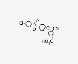 N#Cc1cc(CC(=O)O)ccc1Oc1ccc(C(=O)N(c2ccc(Cl)cc2)C2CC2)cc1